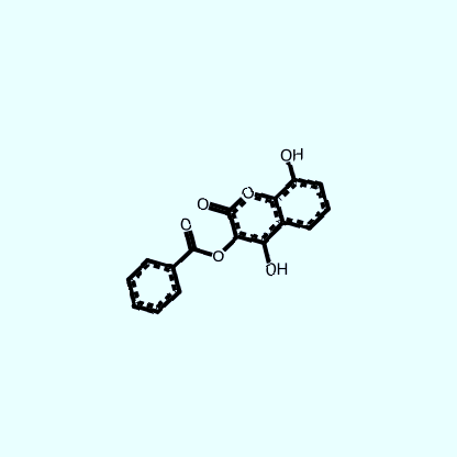 O=C(Oc1c(O)c2cccc(O)c2oc1=O)c1ccccc1